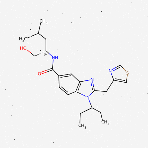 CCC(CC)n1c(Cc2cscn2)nc2cc(C(=O)N[C@H](CO)CC(C)C)ccc21